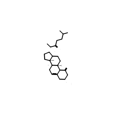 CC(C)CCC(=O)C(C)[C@H]1CC[C@H]2[C@@H]3CC=C4C[C@@H](O)CC(=O)[C@]4(C)[C@H]3CC[C@]12C